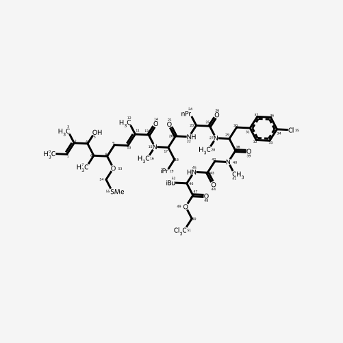 C/C=C(\C)C(O)C(C)C(C/C=C(\C)C(=O)N(C)C(CC(C)C)C(=O)NC(CCC)C(=O)N(C)C(Cc1ccc(Cl)cc1)C(=O)N(C)CC(=O)NC(C(=O)OCC(Cl)(Cl)Cl)C(C)CC)OCSC